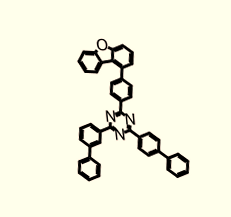 c1ccc(-c2ccc(-c3nc(-c4ccc(-c5cccc6oc7ccccc7c56)cc4)nc(-c4cccc(-c5ccccc5)c4)n3)cc2)cc1